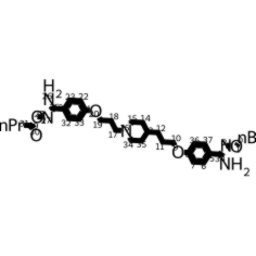 CCCCON=C(N)c1ccc(OCCCC2CCN(CCCOc3ccc(C(N)=NOC(=O)CCC)cc3)CC2)cc1